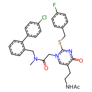 CC(=O)NCCc1cn(CC(=O)N(C)Cc2ccccc2-c2ccc(Cl)cc2)c(SCc2ccc(F)cc2)nc1=O